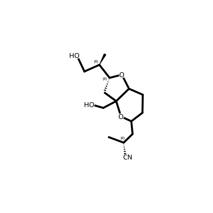 C[C@H](CO)[C@H]1CC2(CO)OC(C[C@@H](C)C#N)CCC2O1